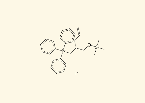 C=CC[C@H](CO[Si](C)(C)C)C[P+](c1ccccc1)(c1ccccc1)c1ccccc1.[I-]